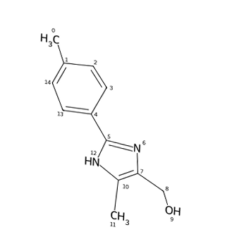 Cc1ccc(-c2nc(CO)c(C)[nH]2)cc1